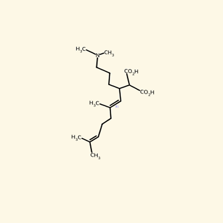 CC(C)=CCC/C(C)=C/C(CCCN(C)C)C(C(=O)O)C(=O)O